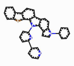 c1ccc(-n2ccc3c2ccc2c4ccc5c6ccccc6sc5c4n(-c4cccc(-c5cccnc5)n4)c23)cc1